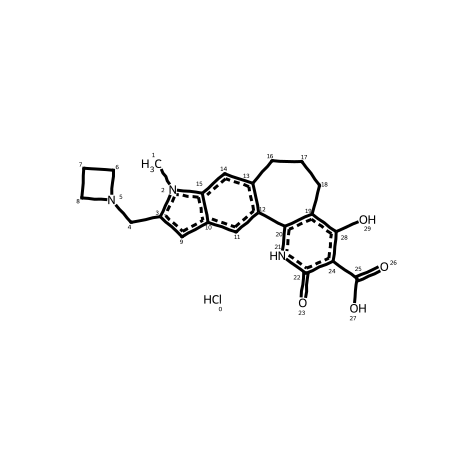 Cl.Cn1c(CN2CCC2)cc2cc3c(cc21)CCCc1c-3[nH]c(=O)c(C(=O)O)c1O